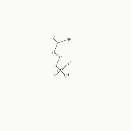 CC(N)CCOP(C)(=O)O